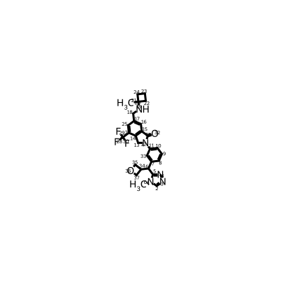 Cn1cnnc1C(c1cccc(N2Cc3c(cc(CNC4(C)CCC4)cc3C(F)(F)F)C2=O)c1)C1COC1